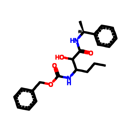 CCCC(NC(=O)OCc1ccccc1)C(O)C(=O)N[C@@H](C)c1ccccc1